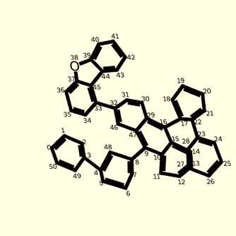 c1ccc(-c2cccc(-c3c4ccccc4c(-c4ccccc4-c4ccccc4)c4ccc(-c5cccc6oc7ccccc7c56)cc34)c2)cc1